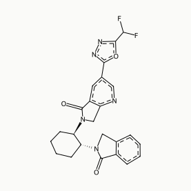 O=C1c2ccccc2CN1[C@@H]1CCCC[C@H]1N1Cc2ncc(-c3nnc(C(F)F)o3)cc2C1=O